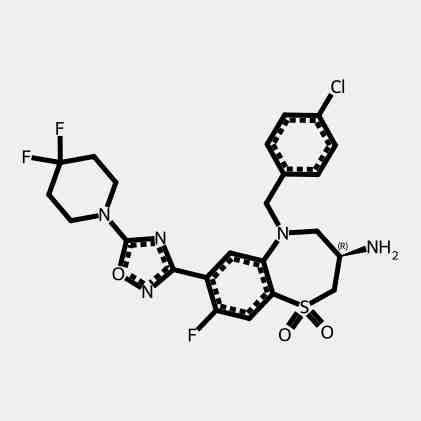 N[C@@H]1CN(Cc2ccc(Cl)cc2)c2cc(-c3noc(N4CCC(F)(F)CC4)n3)c(F)cc2S(=O)(=O)C1